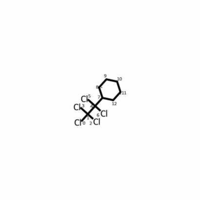 ClC(Cl)(Cl)C(Cl)(Cl)C1[CH]CC[CH]C1